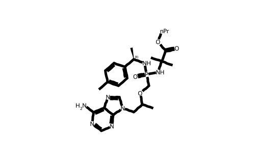 CCCOC(=O)C(C)(C)NP(=O)(COC(C)Cn1cnc2c(N)ncnc21)N[C@H](C)c1ccc(C)cc1